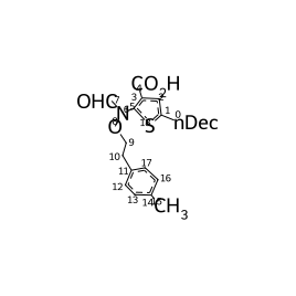 CCCCCCCCCCc1cc(C(=O)O)c(N(C=O)OCCc2ccc(C)cc2)s1